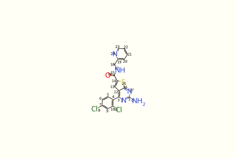 Nc1nc(-c2ccc(Cl)cc2Cl)c2cc(C(=O)NCc3ccccn3)sc2n1